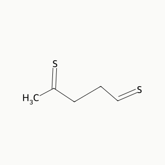 CC(=S)CCC=S